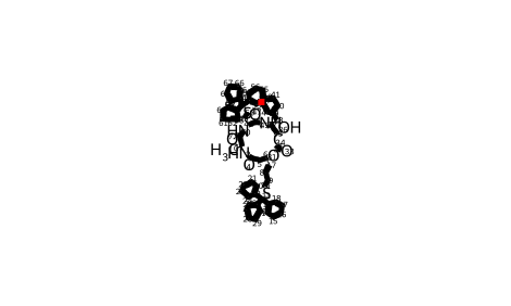 C[C@H]1NC(=O)C[C@@H](/C=C/CCSC(c2ccccc2)(c2ccccc2)c2ccccc2)OC(=O)C[C@H](O)[C@@H](Cc2ccccc2)NC(=O)[C@@H](CSC(c2ccccc2)(c2ccccc2)c2ccccc2)NC1=O